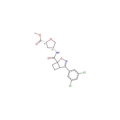 COC(=O)[C@H]1C[C@@H](NC(=O)C23CCC2C(c2cc(Cl)cc(Cl)c2)=NO3)CO1